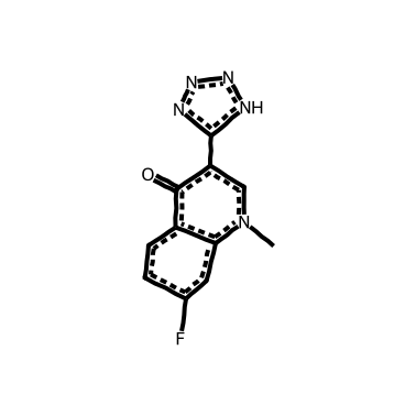 Cn1cc(-c2nnn[nH]2)c(=O)c2ccc(F)cc21